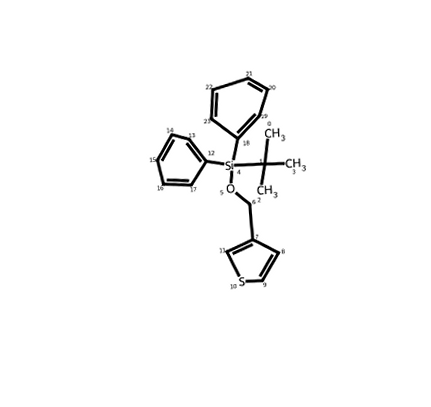 CC(C)(C)[Si](OCc1ccsc1)(c1ccccc1)c1ccccc1